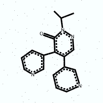 CC(C)n1ncc(-c2cccnc2)c(-c2cccnc2)c1=O